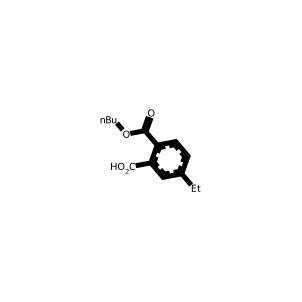 CCCCOC(=O)c1ccc(CC)cc1C(=O)O